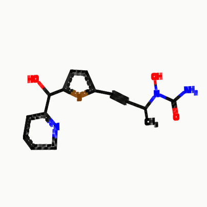 CC(C#Cc1ccc(C(O)c2ccccn2)s1)N(O)C(N)=O